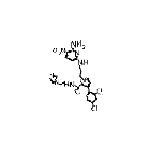 Nc1nc(NCCCn2ccc(-c3ccc(Cl)cc3Cl)c2C(=O)NCCCn2ccnc2)ccc1[N+](=O)[O-]